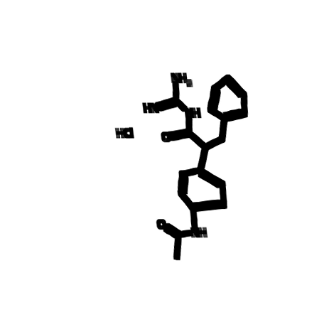 CC(=O)Nc1ccc(C(Cc2ccccc2)C(=O)NC(=N)N)cc1.Cl